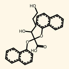 O=C(O)C(Oc1cccc2ccccc12)(Oc1cccc2ccccc12)C(O)CCCO